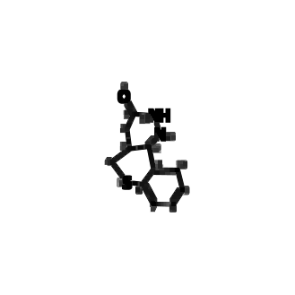 O=C1CC2CSc3ccccc3C2=NN1